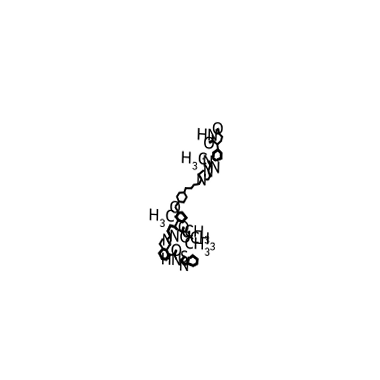 Cc1c(OC2CCC(CCCCN3CCN(c4nc5ccc(C6CCC(=O)NC6=O)cc5n4C)CC3)CC2)cccc1-c1ccc(N2CCc3cccc(C(=O)Nc4nc5ccccc5s4)c3C2)nc1C(=O)OC(C)(C)C